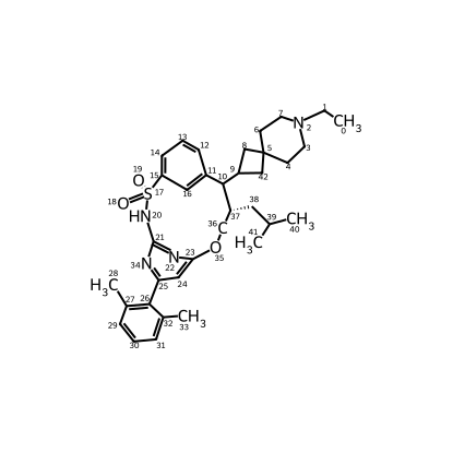 CCN1CCC2(CC1)CC(C1c3cccc(c3)S(=O)(=O)Nc3nc(cc(-c4c(C)cccc4C)n3)OC[C@H]1CC(C)C)C2